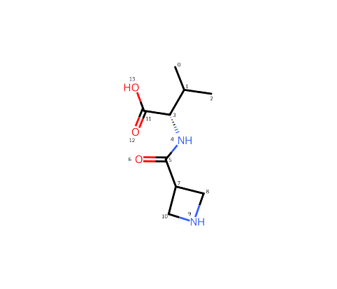 CC(C)[C@H](NC(=O)C1CNC1)C(=O)O